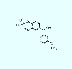 COc1cccc(C(O)c2ccc3c(c2)C=CC(C)(C)O3)c1